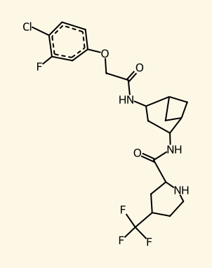 O=C(COc1ccc(Cl)c(F)c1)NC1CC(NC(=O)C2CC(C(F)(F)F)CCN2)C2CC1C2